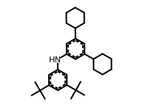 CC(C)(C)c1cc(Nc2cc(C3CCCCC3)cc(C3CCCCC3)c2)cc(C(C)(C)C)c1